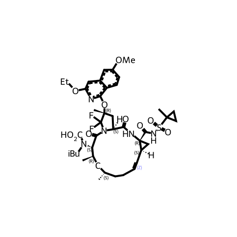 CCOc1cc2cc(OC)ccc2c(O[C@]2(C)C[C@H]3C(=O)N[C@]4(C(=O)NS(=O)(=O)C5(C)CC5)C[C@H]4/C=C\CC[C@H](C)C[C@@H](C)[C@H](N(C(=O)O)C(C)CC)C(=O)N3C2(F)F)n1